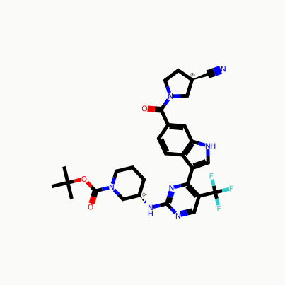 CC(C)(C)OC(=O)N1CCC[C@H](Nc2ncc(C(F)(F)F)c(-c3c[nH]c4cc(C(=O)N5CC[C@@H](C#N)C5)ccc34)n2)C1